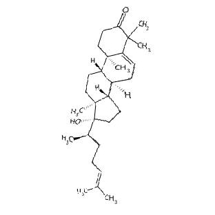 CC(C)=CCC[C@@H](C)[C@]1(O)CC[C@H]2[C@@H]3CC=C4C(C)(C)C(=O)CC[C@]4(C)[C@H]3CC[C@@]21C